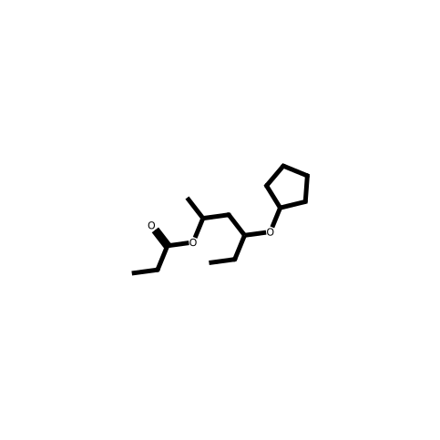 CCC(=O)OC(C)CC(CC)OC1CCCC1